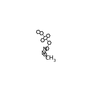 Cc1ccnc(-c2ccc(-c3cccc(-c4c5ccccc5c(-c5ccc6ccccc6c5)c5ccccc45)c3)cn2)c1